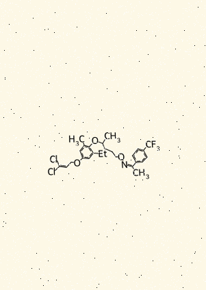 CCc1cc(OCC=C(Cl)Cl)cc(C)c1OC(C)CCCON=C(C)c1ccc(C(F)(F)F)cc1